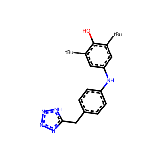 CC(C)(C)c1cc(Nc2ccc(Cc3nnn[nH]3)cc2)cc(C(C)(C)C)c1O